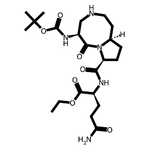 CCOC(=O)[C@H](CCC(N)=O)NC(=O)[C@@H]1CC[C@@H]2CCNC[C@H](NC(=O)OC(C)(C)C)C(=O)N21